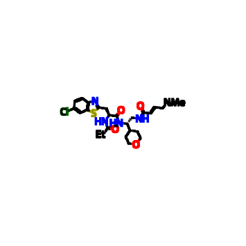 CCC(=O)N[C@@H](Cc1nc2ccc(Cl)cc2s1)C(=O)N[C@H](CNC(=O)/C=C/CNC)C1CCOCC1